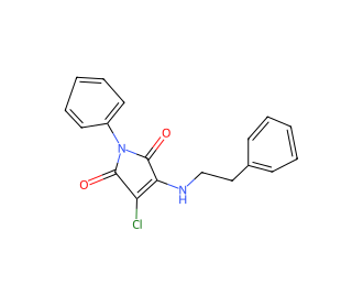 O=C1C(Cl)=C(NCCc2ccccc2)C(=O)N1c1ccccc1